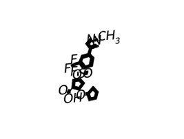 Cn1cc(-c2ccc(S(=O)(=O)[C@@H]3C[C@H](OC4CCCC4)[C@@H](C(=O)O)C3)c(C(F)(F)F)c2)cn1